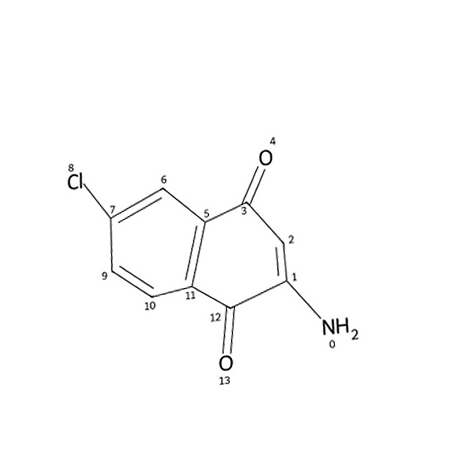 NC1=CC(=O)c2cc(Cl)ccc2C1=O